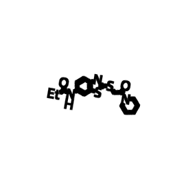 CCC(=O)Nc1ccc2nc(SCC(=O)N3CCCCC3)sc2c1